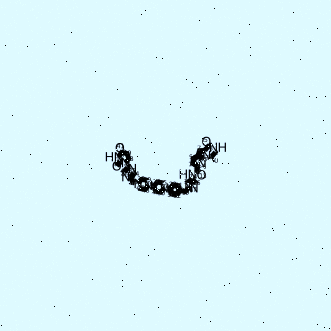 C[C@@H]1CNC(=O)c2cc3ccc(C(=O)Nc4cnn(Cc5ccc(N6CCC(N7CCN(Cc8cnc(N9CCC(=O)NC9=O)cn8)CC7)CC6)cc5)c4)nc3n21